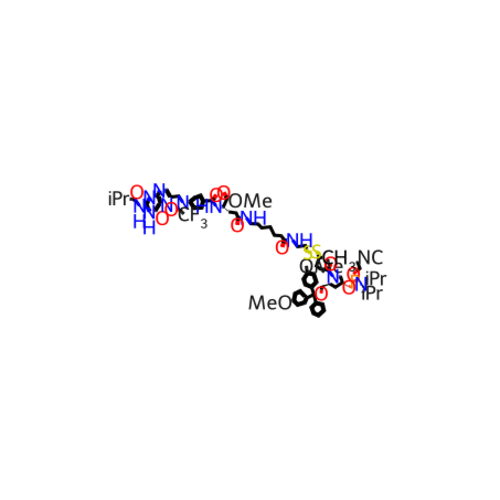 [C-]#[N+]CCOP(O[C@@H]1C[C@@H](COC(c2ccccc2)(c2ccc(OC)cc2)c2ccc(OC)cc2)N(C(=O)CCC(C)SSCCNC(=O)CCCCCCNC(=O)CC[C@H](NC(=O)c2ccc(N(Cc3cnc4nc(NC(=O)C(C)C)[nH]c(=O)c4n3)C(=O)C(F)(F)F)cc2)C(=O)OC)C1)N(C(C)C)C(C)C